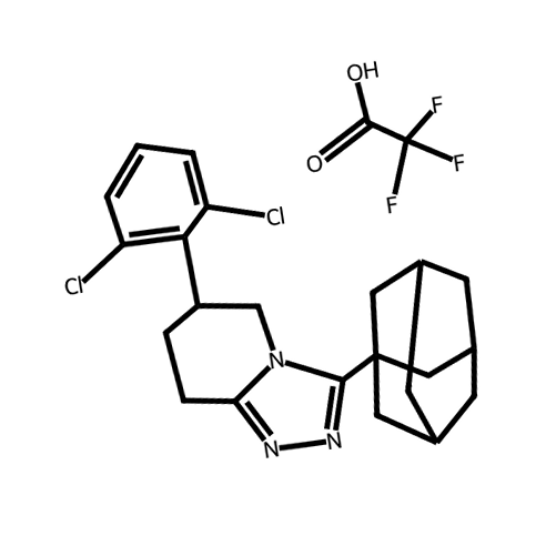 Clc1cccc(Cl)c1C1CCc2nnc(C34CC5CC(CC(C5)C3)C4)n2C1.O=C(O)C(F)(F)F